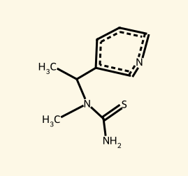 CC(c1cccnc1)N(C)C(N)=S